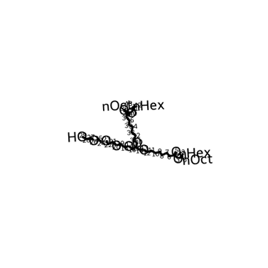 CCCCCCCCC(CCCCCC)OC(=O)CCCCCCCOCC(COCCOCCOCCOCCO)OCCCCCCCC(=O)OC(CCCCCC)CCCCCCCC